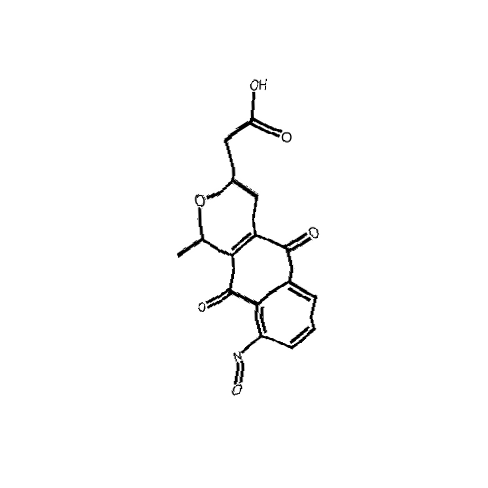 CC1OC(CC(=O)O)CC2=C1C(=O)c1c(N=O)cccc1C2=O